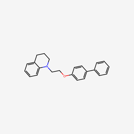 c1ccc(-c2ccc(OCCN3CCCc4ccccc43)cc2)cc1